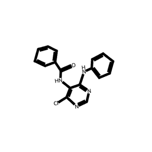 O=C(Nc1c(Cl)ncnc1Nc1ccccc1)c1ccccc1